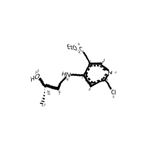 CCOC(=O)c1cnc(Cl)cc1NC[C@H](C)O